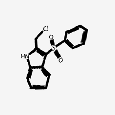 O=S(=O)(c1ccccc1)c1c(CCl)[nH]c2ccccc12